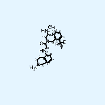 [CH2]N1CCc2c(cccc2NCC(=O)N(CCNC)Cc2ncccc2C(F)(F)F)C1